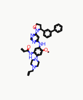 C=CCN1CCN(c2cc(OC)c(Nc3cc(N4OCCC4c4cccc(-c5ccccc5)c4)ncn3)cc2NC(=O)C=C)CC1